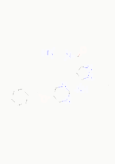 Cn1nc(C(=O)N2CCNCC2)cc1Nc1ncc(OCc2c(F)c(F)cc(F)c2F)cn1